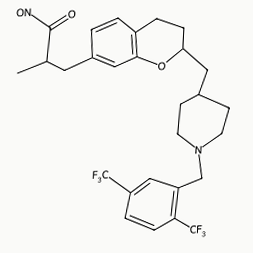 CC(Cc1ccc2c(c1)OC(CC1CCN(Cc3cc(C(F)(F)F)ccc3C(F)(F)F)CC1)CC2)C(=O)N=O